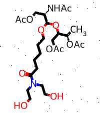 CC(=O)N[C@@H](COC(C)=O)C(OCCCCCC(=O)N(CCO)CCO)OC(COC(C)=O)[C@@H](C)OC(C)=O